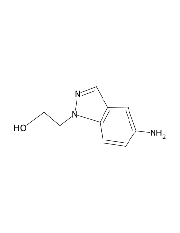 Nc1ccc2c(cnn2CCO)c1